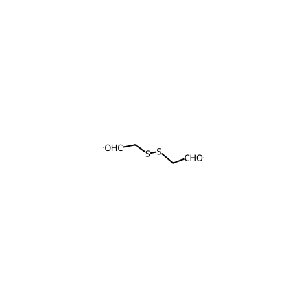 O=[C]CSSC[C]=O